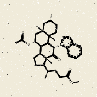 COC(=O)CC[C@@H](C)C1CCC2C3C([C@H](n4nnc5ccccc54)C(=O)[C@@]21C)[C@@]1(C)CC[C@@H](C)C[C@H]1C[C@H]3OC(C)=O